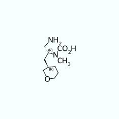 CN(C(=O)O)[C@@H](CN)C[C@H]1CCCOC1